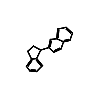 [c]1c(C2CCc3ccccc32)ccc2ccccc12